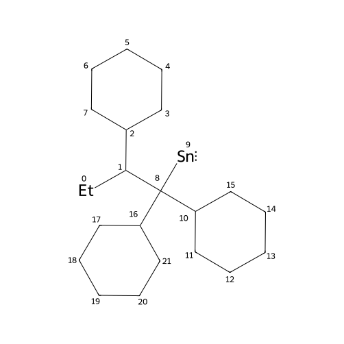 CCC(C1CCCCC1)[C]([Sn])(C1CCCCC1)C1CCCCC1